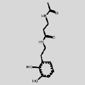 CC(=O)NCCC(=O)NCCc1cccc(O)c1O